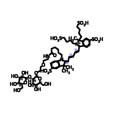 CC1(C)/C(=C/C=C/C=C/C2=[N+](CCCCS(=O)(=O)O)C(C)(CCCCS(=O)(=O)O)c3cc(S(=O)(=O)O)ccc32)N(CCCCCC(=O)NCCOCCO[C@H]2O[C@@H](CO)[C@@H](O)[C@H](O)[C@@H]2O[C@H]2O[C@H](CO)[C@@H](O)[C@H](O)[C@@H]2O)c2ccc(S(=O)(=O)O)cc21